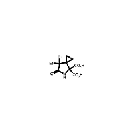 CCC1(CC)C(=O)NC(C(=O)O)(C(=O)O)C12CC2